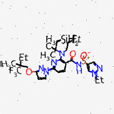 CCC1CN(c2nc(-n3ccc(OCC(C)(CC)C(F)(F)F)n3)ccc2C(=O)N[S+]([O-])c2cnn(CC)c2)C(C)(C)C[SiH2]1